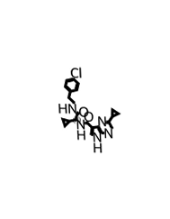 O=C(N[C@@H](C(=O)NCCc1ccc(Cl)cc1)C1CC1)c1c[nH]c2ncc(C3CC3)nc12